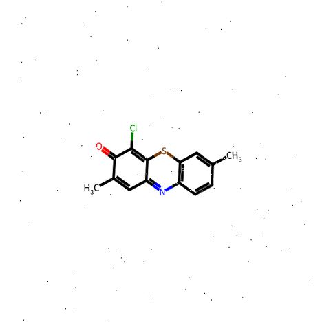 Cc1ccc2nc3cc(C)c(=O)c(Cl)c-3sc2c1